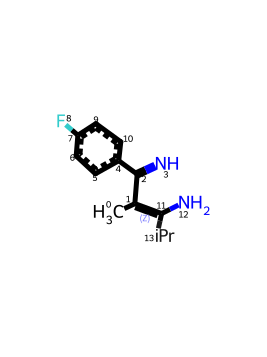 C/C(C(=N)c1ccc(F)cc1)=C(/N)C(C)C